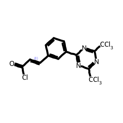 O=C(Cl)/C=C/c1cccc(-c2nc(C(Cl)(Cl)Cl)nc(C(Cl)(Cl)Cl)n2)c1